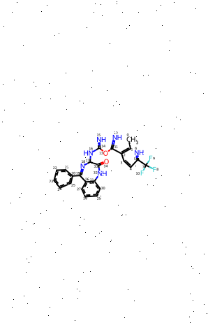 C/C=C(/C=C\C(=N)C(F)(F)F)C(=N)OC(=N)NC1N=C(c2ccccc2)c2ccccc2NC1=O